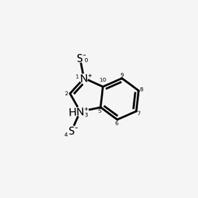 [S-][N+]1=C[NH+]([S-])c2ccccc21